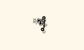 COC(=O)[C@@H](Nc1nc(CNC(=O)/C=C/c2cccc(Cl)c2)nc2ccccc12)C(C)C